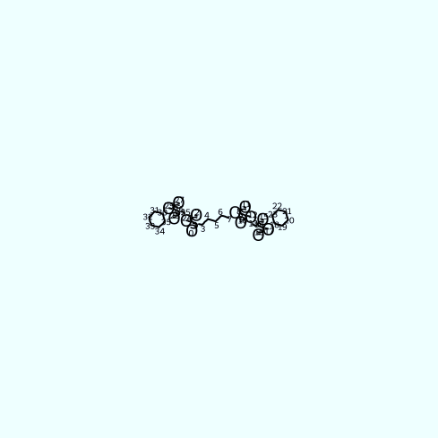 O=S(=O)(CCCCCOS(=O)(=O)OCS(=O)(=O)OC1CCCCC1)OCS(=O)(=O)OC1CCCCC1